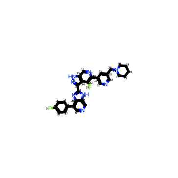 Fc1ccc(-c2cncc3[nH]c(-c4n[nH]c5cnc(-c6cncc(CN7CCCCC7)c6)c(F)c45)nc23)cc1